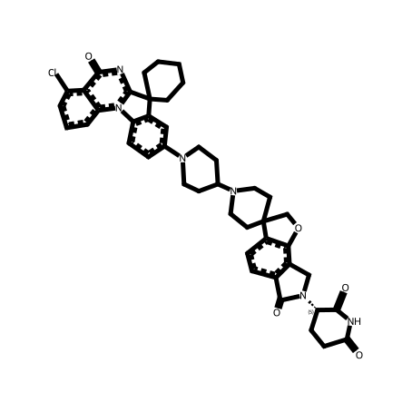 O=C1CC[C@H](N2Cc3c(ccc4c3OCC43CCN(C4CCN(c5ccc6c(c5)C5(CCCCC5)c5nc(=O)c7c(Cl)cccc7n5-6)CC4)CC3)C2=O)C(=O)N1